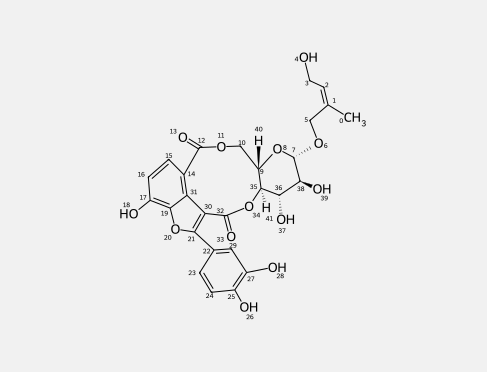 C/C(=C/CO)CO[C@H]1O[C@H]2COC(=O)c3ccc(O)c4oc(-c5ccc(O)c(O)c5)c(c34)C(=O)O[C@@H]2[C@@H](O)[C@@H]1O